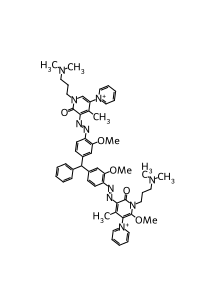 COc1cc(C(c2ccccc2)c2ccc(/N=N/c3c(C)c(-[n+]4ccccc4)c(OC)n(CCCN(C)C)c3=O)c(OC)c2)ccc1/N=N/c1c(C)c(-[n+]2ccccc2)cn(CCCN(C)C)c1=O